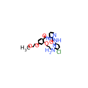 COCCOc1ccc(C(=O)Nc2cccnc2C(=O)Nc2ccc(Cl)cn2)c(OCCCN)c1